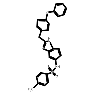 O=S(=O)(Nc1ccc2[nH]c(Cc3ccc(Oc4ccccc4)cc3)nc2c1)c1ccc(C(F)(F)F)cc1